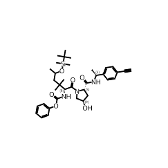 C#Cc1ccc([C@H](C)NC(=O)[C@@H]2C[C@@H](O)CN2C(=O)[C@H](NC(=O)Oc2ccccc2)C(C)(C)CC(C)O[Si](C)(C)C(C)(C)C)cc1